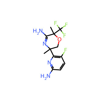 CC1(c2nc(N)ccc2F)COC(C)(C(F)(F)F)C(N)=N1